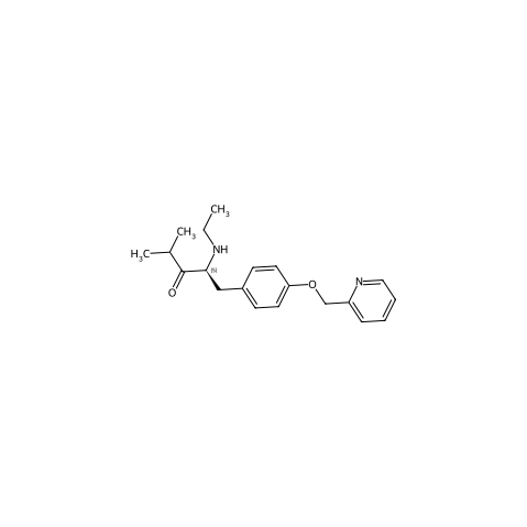 CCN[C@@H](Cc1ccc(OCc2ccccn2)cc1)C(=O)C(C)C